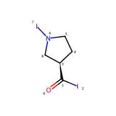 O=C(I)[C@@H]1CCN(I)C1